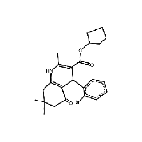 CC1=C(C(=O)OC2CCCC2)C(c2ccccc2Br)C2=C(CC(C)(C)CC2=O)N1